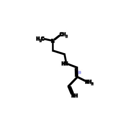 CN(C)CCN/C=C(/N)C=N